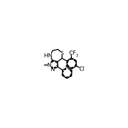 Cn1nc(-c2ccccn2)c2c1NCCSC2c1ccc(Cl)cc1C(F)(F)F